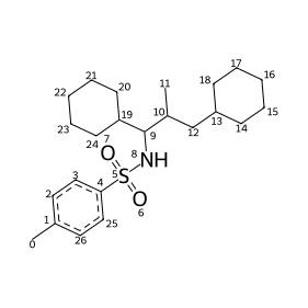 Cc1ccc(S(=O)(=O)NC(C(C)CC2CCCCC2)C2CCCCC2)cc1